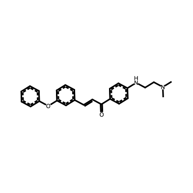 CN(C)CCNc1ccc(C(=O)C=Cc2cccc(Oc3ccccc3)c2)cc1